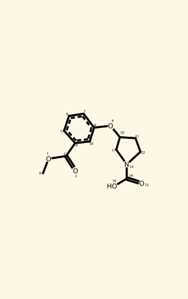 COC(=O)c1cccc(OC2CCN(C(=O)O)C2)c1